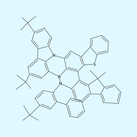 CC(C)(C)c1ccc(N2B3c4c(cc5c(sc6ccccc65)c4-c4c2ccc2c4C(C)(C)c4ccccc4-2)-n2c4ccc(C(C)(C)C)cc4c4cc(C(C)(C)C)cc3c42)c(-c2ccccc2)c1